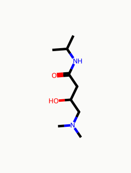 CC(C)NC(=O)CC(O)CN(C)C